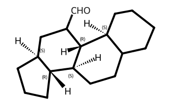 O=CC1C[C@@H]2CCC[C@H]2[C@@H]2CCC3CCCC[C@@H]3[C@@H]12